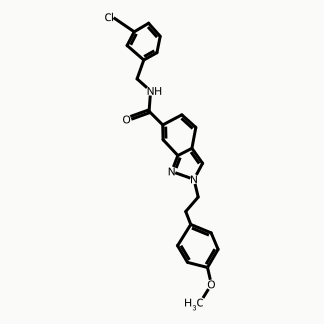 COc1ccc(CCn2cc3ccc(C(=O)NCc4cccc(Cl)c4)cc3n2)cc1